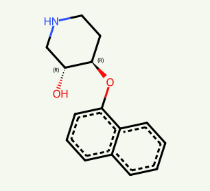 O[C@@H]1CNCC[C@H]1Oc1cccc2ccccc12